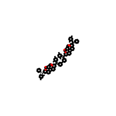 Cc1ccc(N(c2ccccc2)c2ccc3c4c(ccc3c2)-c2ccc3cc(N(c5cccc(-c6cccc(N(c7ccc8c9c(ccc8c7)-c7ccc8cc(N(c%10ccccc%10)c%10cc(C)ccc%10C)ccc8c7C97c8ccccc8-c8ccccc87)c7cc(C)ccc7C)c6)c5)c5ccc(C)cc5C)ccc3c2C42c3ccccc3-c3ccccc32)c(C)c1